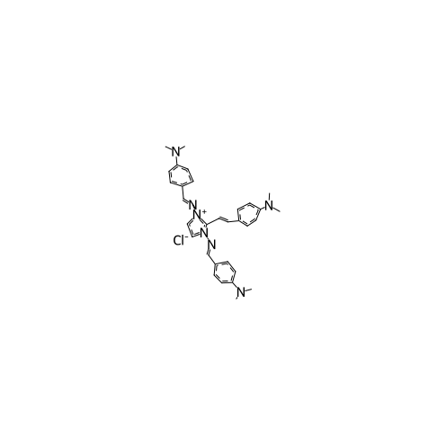 CN(C)c1ccc(C=Cc2n(N=Cc3ccc(N(C)C)cc3)cc[n+]2N=Cc2ccc(N(C)C)cc2)cc1.[Cl-]